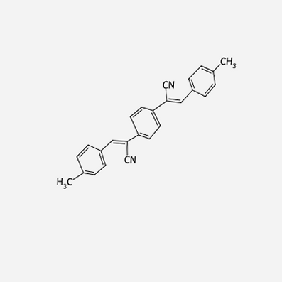 Cc1ccc(/C=C(\C#N)c2ccc(/C(C#N)=C/c3ccc(C)cc3)cc2)cc1